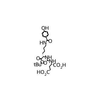 CC(C)(C)OC(=O)[C@H](CCCCNC(=O)c1ccc(O)cc1)NC(=O)N[C@@H](CCC(=O)O)C(=O)O